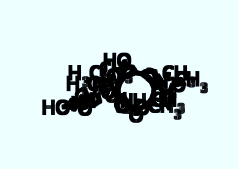 CCn1c(-c2cnccc2COC)c2c3cc(ccc31)-c1cc(O)cc(c1)C[C@H](NC(=O)[C@H](C(C)C)N(C)C(=O)[C@H]1CCN(S(=O)(=O)N3CC(O)C3)C1)C(=O)N1CCC[C@H](N1)C(=O)OCC(C)(C)C2